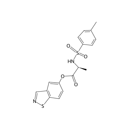 Cc1ccc(S(=O)(=O)N[C@@H](C)C(=O)Oc2ccc3sncc3c2)cc1